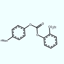 CCCCCCCCCc1ccc(OC(=O)Oc2ccccc2C(=O)OCC)cc1